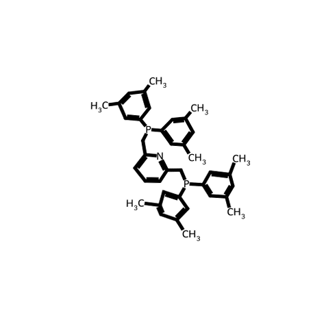 Cc1cc(C)cc(P(Cc2cccc(CP(c3cc(C)cc(C)c3)c3cc(C)cc(C)c3)n2)c2cc(C)cc(C)c2)c1